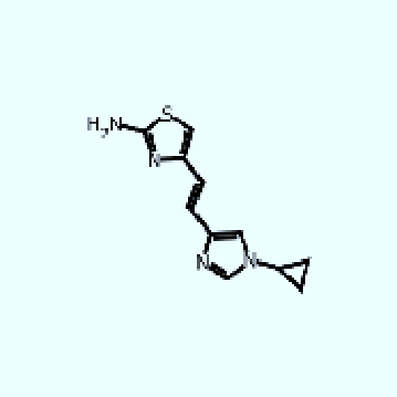 Nc1nc(/C=C/c2cn(C3CC3)cn2)cs1